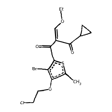 CCOC=C(C(=O)c1sc(C)c(OCCCl)c1Br)C(=O)C1CC1